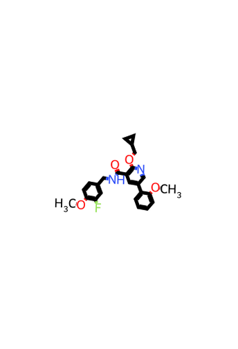 COc1ccc(CNC(=O)c2cc(-c3ccccc3OC)cnc2OCC2CC2)cc1F